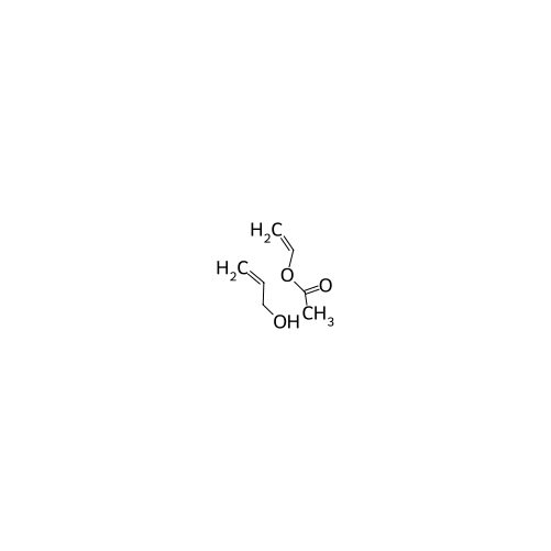 C=CCO.C=COC(C)=O